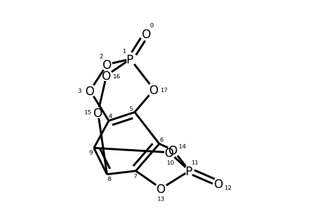 O=P12OOc3c(c4c5c(c3OP(=O)(O5)O4)OO1)O2